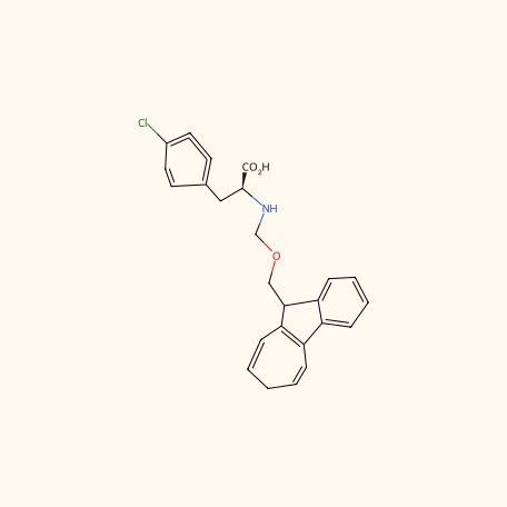 O=C(O)[C@H](CC1=C=C=C(Cl)C=C1)NCOCC1C2=C(C=CCC=C2)c2ccccc21